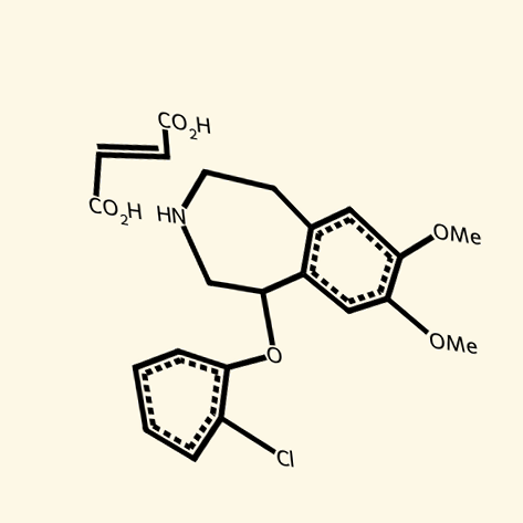 COc1cc2c(cc1OC)C(Oc1ccccc1Cl)CNCC2.O=C(O)C=CC(=O)O